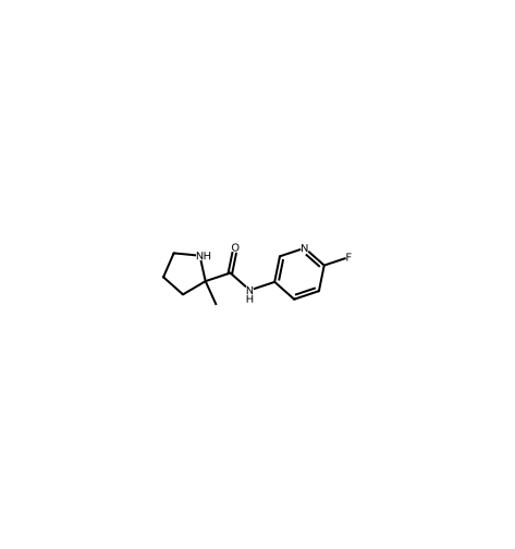 CC1(C(=O)Nc2ccc(F)nc2)CCCN1